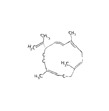 C=C(C)[C@@H]1/C=C/C(C)=C\C/C=C(\C)CC/C=C(/C)CC1